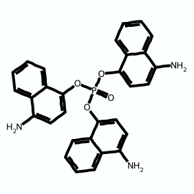 Nc1ccc(OP(=O)(Oc2ccc(N)c3ccccc23)Oc2ccc(N)c3ccccc23)c2ccccc12